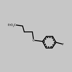 CCOC(=O)CCCOc1ccc(F)cc1